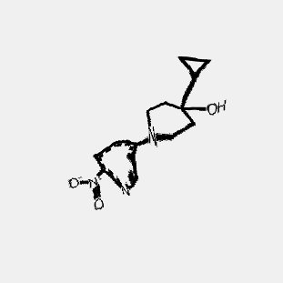 O=[N+]([O-])c1ccc(N2CCC(O)(C3CC3)CC2)cn1